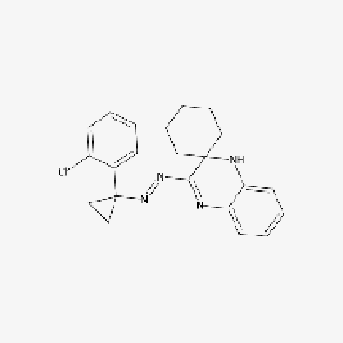 Clc1ccccc1C1(N=NC2=Nc3ccccc3NC23CCCCC3)CC1